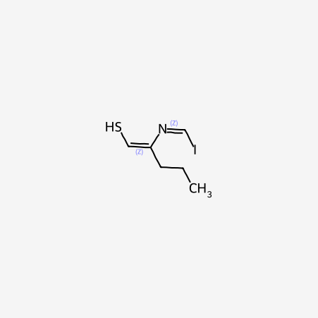 CCCC(=C/S)/N=C\I